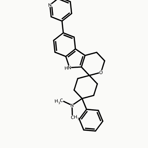 CN(C)C1(c2ccccc2)CCC2(CC1)OCCc1c2[nH]c2ccc(-c3cccnc3)cc12